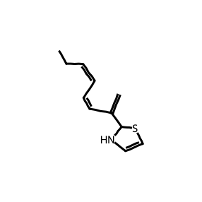 C=C(/C=C\C=C/CC)C1NC=CS1